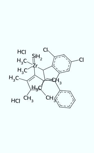 CC1=C(C)C(C)[C]([Zr]([CH3])([CH3])(=[SiH2])[CH]2C(C)=C(c3ccccc3)c3cc(Cl)cc(Cl)c32)=C1C.Cl.Cl